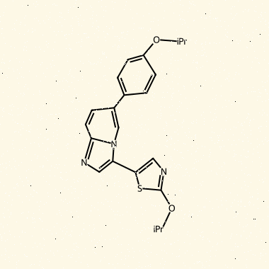 CC(C)Oc1ccc(-c2ccc3ncc(-c4cnc(OC(C)C)s4)n3c2)cc1